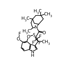 CC(CC(=O)N1C(C)CC2(C)CC1CC(C)(C)C2)c1c[nH]c2ccc(OF)c(OSC(F)(F)F)c12